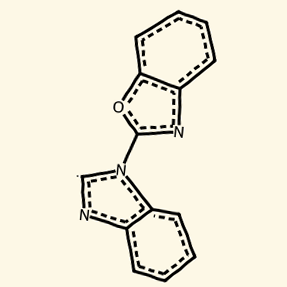 [c]1nc2ccccc2n1-c1nc2ccccc2o1